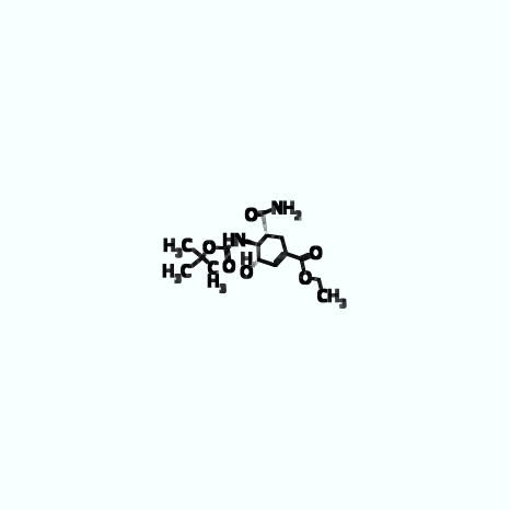 CCOC(=O)C1=C[C@H](O)[C@@H](NC(=O)OC(C)(C)C)[C@H](C(N)=O)C1